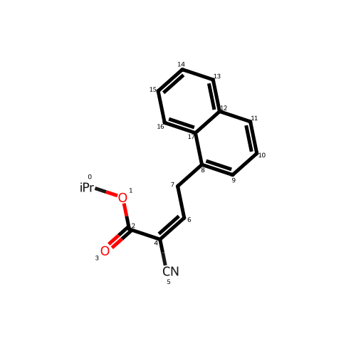 CC(C)OC(=O)C(C#N)=CCc1cccc2ccccc12